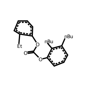 CCCCc1cccc(OC(=O)Oc2ccccc2CC)c1CCCC